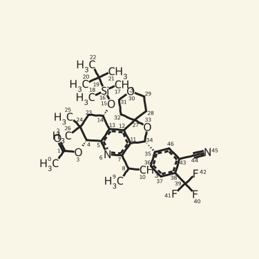 CC(=O)O[C@H]1c2nc(C(C)C)c3c(c2[C@@H](O[Si](C)(C)C(C)(C)C)CC1(C)C)C1(CCOCC1)O[C@@H]3c1ccc(C(F)(F)F)c(C#N)c1